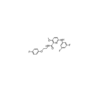 COc1ccc(Nc2cc(F)cc(F)c2)nc1C(=O)NCCOc1ccc(F)cc1